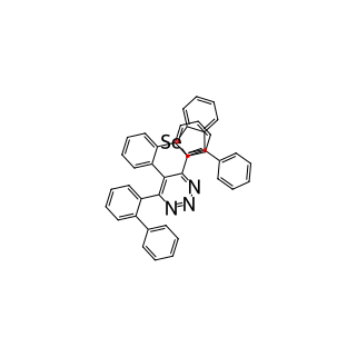 c1ccc(-c2ccccc2-c2nnnc(-c3[se]c4ccccc4c3-c3ccccc3)c2-c2ccccc2-c2ccccc2)cc1